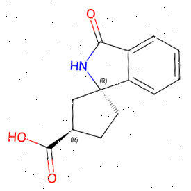 O=C1N[C@@]2(CC[C@@H](C(=O)O)C2)c2ccccc21